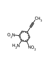 CC#Cc1cc([N+](=O)[O-])c(N)c([N+](=O)[O-])c1